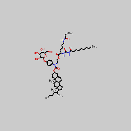 CCCCCCCCCCCCCCCCCC(=O)NC(=O)N[C@@H](CCCCNC(=O)CCCCCCCCCCC)C(=O)OCCN(C(=O)OC1CCC2(C)C(=CCC3C2CCC2(C)C(C(C)CCCC(C)C)CCC32)C1)c1ccc(O[C@H]2OC(CO)[C@H](O)C(O)[C@@H]2O)cc1